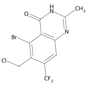 Cc1nc2cc(C(F)(F)F)c(CCl)c(Br)c2c(=O)[nH]1